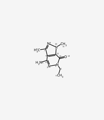 CCn1nc(N)c2c(C)nn(C)c2c1=O